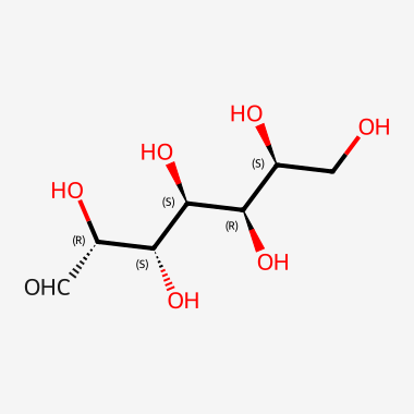 O=C[C@H](O)[C@@H](O)[C@@H](O)[C@H](O)[C@@H](O)CO